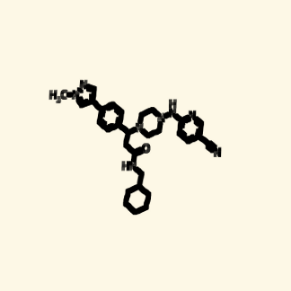 Cn1cc(-c2ccc(C(CC(=O)NCC3CCCCC3)N3CCN(Nc4ccc(C#N)cn4)CC3)cc2)cn1